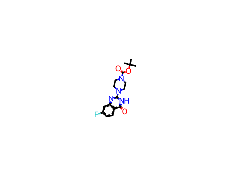 CC(C)(C)OC(=O)N1CCN(c2nc3cc(F)ccc3c(=O)[nH]2)CC1